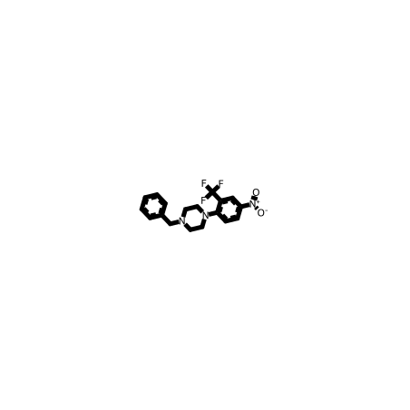 O=[N+]([O-])c1ccc(N2CCN(Cc3ccccc3)CC2)c(C(F)(F)F)c1